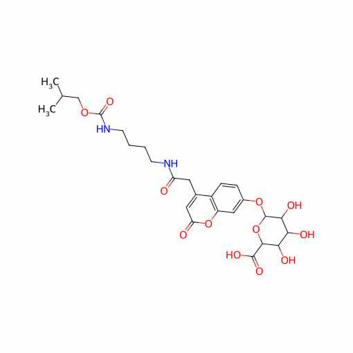 CC(C)COC(=O)NCCCCNC(=O)Cc1cc(=O)oc2cc(OC3OC(C(=O)O)C(O)C(O)C3O)ccc12